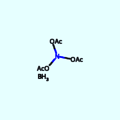 B.CC(=O)ON(OC(C)=O)OC(C)=O